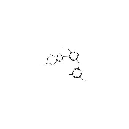 CNc1cc(C)nc(Nc2cnc(OC)c(-c3nc4n(n3)CCN(C)C4)c2)n1